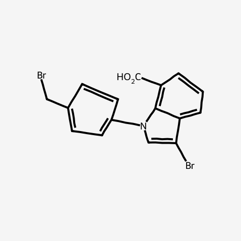 O=C(O)c1cccc2c(Br)cn(-c3ccc(CBr)cc3)c12